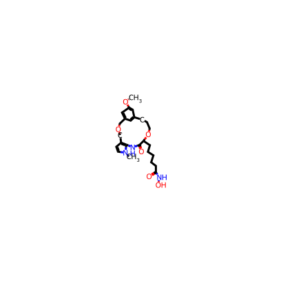 COc1cc2cc(c1)COCc1ccn(C)c1NC(=O)C(CCCCCC(=O)NO)OCCC2